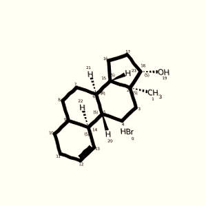 Br.C[C@]12CC[C@H]3[C@@H](CCC4CCC=C[C@@H]43)[C@@H]1CC[C@@H]2O